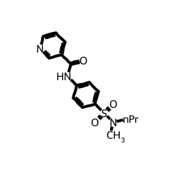 CCCN(C)S(=O)(=O)c1ccc(NC(=O)c2cccnc2)cc1